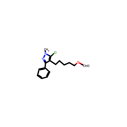 Cn1nc(-c2ccccc2)c(CCCCCOC=O)c1Cl